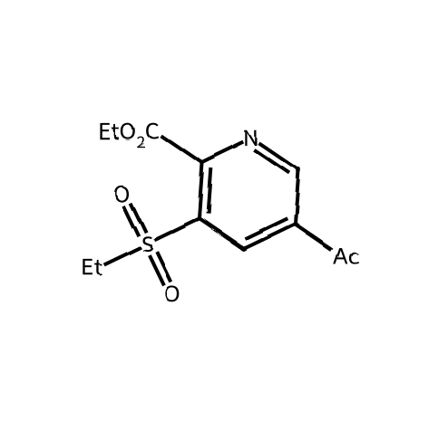 CCOC(=O)c1ncc(C(C)=O)cc1S(=O)(=O)CC